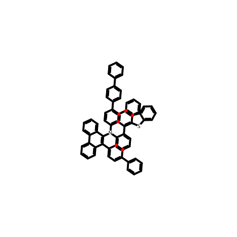 c1ccc(-c2ccc(-c3ccc(N(c4ccccc4-c4cccc5c4sc4ccccc45)c4c(-c5ccc(-c6ccccc6)cc5)c5ccccc5c5ccccc45)cc3-c3ccccc3)cc2)cc1